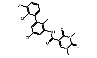 Cc1c(NC(=O)c2cn(C)c(=O)n(C)c2=O)cc(Cl)cc1-c1cccc(Br)c1Cl